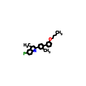 CCCCOc1cccc(-c2ccc(-c3cc(C)c4cc(F)ccc4n3)cc2C)c1